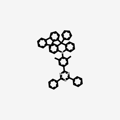 Cc1cc(-c2nc(-c3ccccc3)nc(-c3ccccc3)n2)cc(C)c1N1c2ccccc2C(c2ccccc2)(c2cccc3c2Cc2ccccc2-3)c2ccccc21